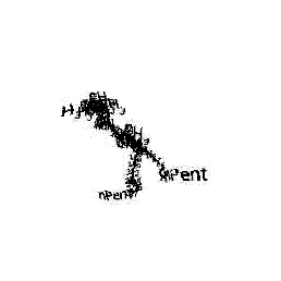 CCCCC/C=C\C/C=C\CCCCCCCCC(CCCCCCCC/C=C\C/C=C\CCCCC)=NOCC(C)(C)CC(C)CCCCC1CCCC(CCC(C)(C)CC(C)(C)CN(C)C)O1